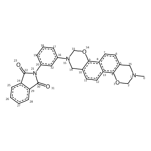 CN1COc2c(ccc3c4c(ccc23)CN(c2cccc(N3C(=O)c5ccccc5C3=O)c2)CO4)C1